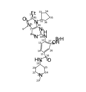 Br.CC[C@@H]1C(=O)N(C)c2cnc(Nc3ccc(C(=O)NC4CCN(C)CC4)cc3O)nc2N1C1CCCC1